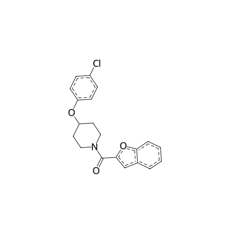 O=C(c1cc2ccccc2o1)N1CCC(Oc2ccc(Cl)cc2)CC1